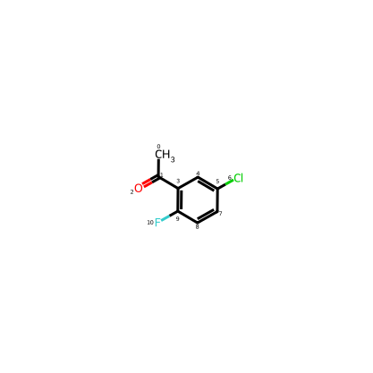 CC(=O)c1cc(Cl)ccc1F